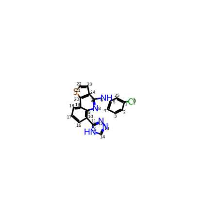 Clc1cccc(Nc2nc3c(-c4nnc[nH]4)cccc3c3sccc23)c1